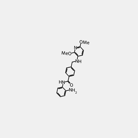 COc1ccc(NCc2ccc(C(=O)Nc3ccccc3N)cc2)c(OC)n1